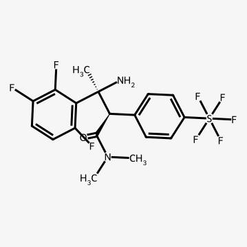 CN(C)C(=O)[C@H](c1ccc(S(F)(F)(F)(F)F)cc1)[C@](C)(N)c1c(F)ccc(F)c1F